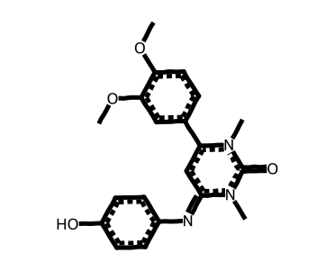 COc1ccc(-c2cc(=Nc3ccc(O)cc3)n(C)c(=O)n2C)cc1OC